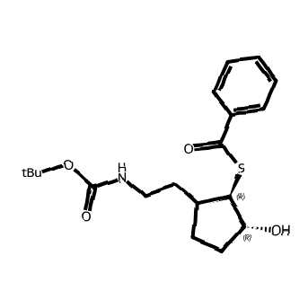 CC(C)(C)OC(=O)NCCC1CC[C@@H](O)[C@@H]1SC(=O)c1ccccc1